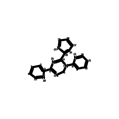 c1ccc(C2=NCN(c3ccccn3)C(c3ccccn3)=N2)nc1